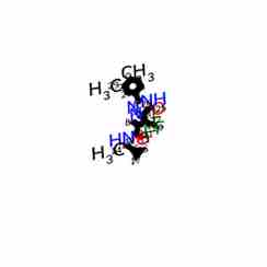 Cc1ccc(-c2nn3cc(C(=O)NC(C)C4CC4)c(C(F)(F)F)c3c(=O)[nH]2)cc1C